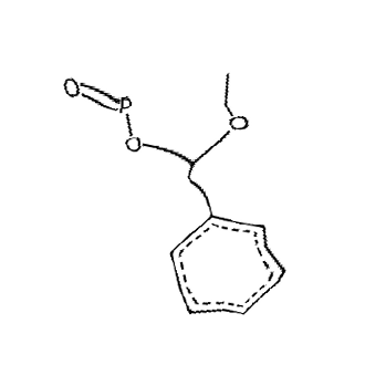 COC(OP=O)c1ccccc1